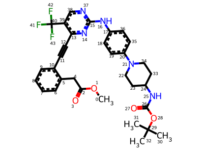 COC(=O)Cc1ccccc1C#Cc1nc(Nc2ccc(N3CCC(NC(=O)OC(C)(C)C)CC3)cc2)ncc1C(F)(F)F